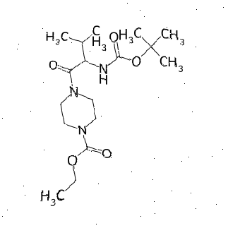 CCOC(=O)N1CCN(C(=O)C(NC(=O)OC(C)(C)C)C(C)C)CC1